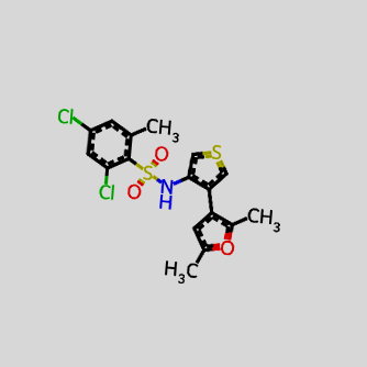 Cc1cc(-c2cscc2NS(=O)(=O)c2c(C)cc(Cl)cc2Cl)c(C)o1